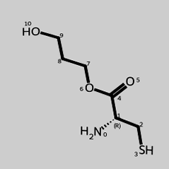 N[C@@H](CS)C(=O)OCCCO